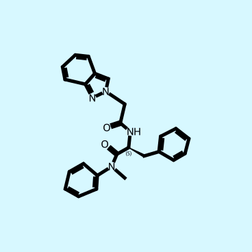 CN(C(=O)[C@H](Cc1ccccc1)NC(=O)Cn1cc2ccccc2n1)c1ccccc1